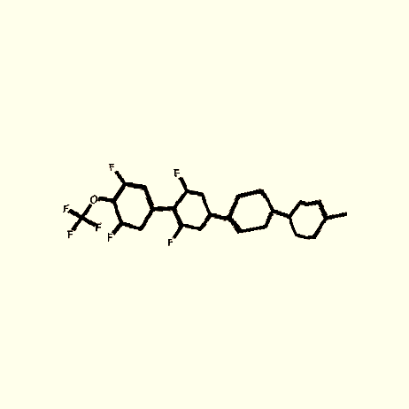 CC1CCC(C2CCC(C3CC(F)C(C4CC(F)C(OC(F)(F)F)C(F)C4)C(F)C3)CC2)CC1